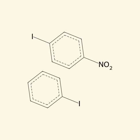 Ic1ccccc1.O=[N+]([O-])c1ccc(I)cc1